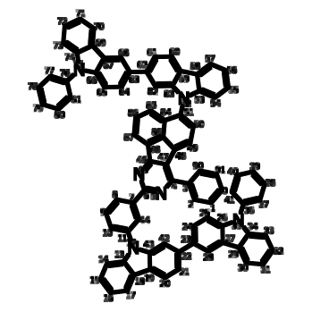 c1ccc(-c2nc(-c3cccc(-n4c5ccccc5c5ccc(-c6ccc7c(c6)c6ccccc6n7-c6ccccc6)cc54)c3)nc3c2-c2ccc(-n4c5ccccc5c5ccc(-c6ccc7c(c6)c6ccccc6n7-c6ccccc6)cc54)c4cccc-3c24)cc1